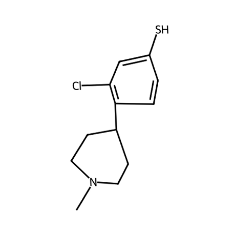 CN1CCC(c2ccc(S)cc2Cl)CC1